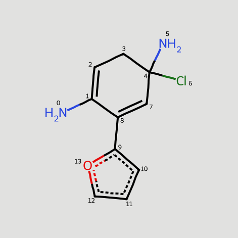 NC1=CCC(N)(Cl)C=C1c1ccco1